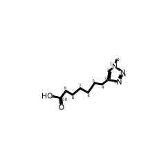 Cn1cc(CCCCCCC(=O)O)nn1